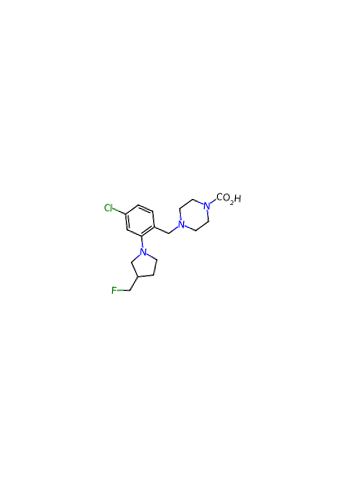 O=C(O)N1CCN(Cc2ccc(Cl)cc2N2CCC(CF)C2)CC1